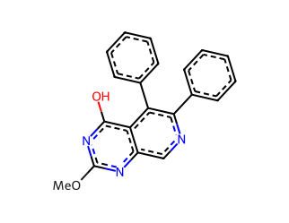 COc1nc(O)c2c(-c3ccccc3)c(-c3ccccc3)ncc2n1